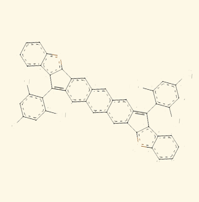 Cc1cc(C)c(C2=c3cc4cc5cc6c(cc5cc4cc3-c3sc4ccccc4c32)=C(c2c(C)cc(C)cc2C)c2c-6sc3ccccc23)c(C)c1